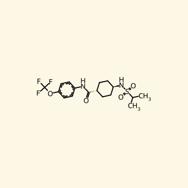 CC(C)S(=O)(=O)N[C@H]1CC[C@H](C(=O)Nc2ccc(OC(F)(F)F)cc2)CC1